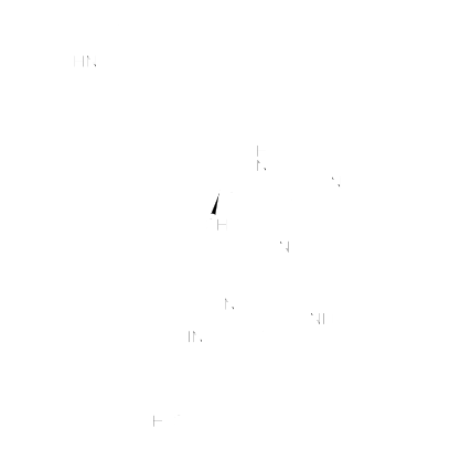 Cc1cc(Nc2ccnc(N[C@@H](C)c3ccc4[nH]ccc4c3)n2)n[nH]1